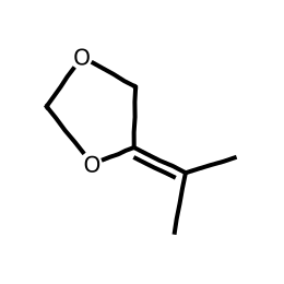 CC(C)=C1COCO1